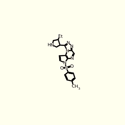 CCC1CNCC1c1nnc2cnc3c(ccn3S(=O)(=O)c3ccc(C)cc3)n12